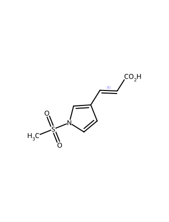 CS(=O)(=O)n1ccc(/C=C/C(=O)O)c1